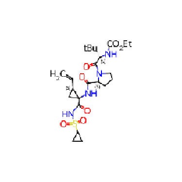 C=C[C@@H]1CC1(NC(=O)[C@@H]1CCCN1C(=O)[C@@H](NC(=O)OCC)C(C)(C)C)C(=O)NS(=O)(=O)C1CC1